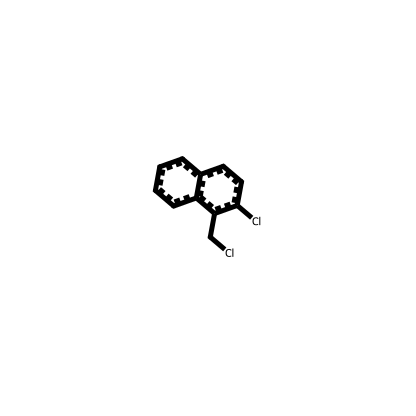 ClCc1c(Cl)ccc2ccccc12